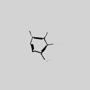 Nc1ccc(Cl)c(F)c1C(=O)O